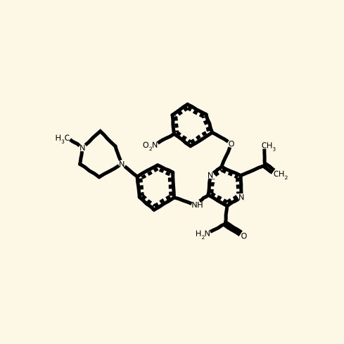 C=C(C)c1nc(C(N)=O)c(Nc2ccc(N3CCN(C)CC3)cc2)nc1Oc1cccc([N+](=O)[O-])c1